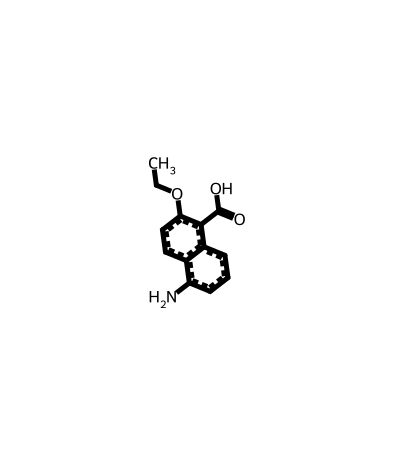 CCOc1ccc2c(N)cccc2c1C(=O)O